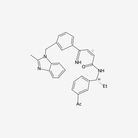 CC[C@@H](NC(=O)/C=C\C(=N)c1cccc(Cn2c(C)nc3ccccc32)c1)c1cccc(C(C)=O)c1